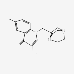 O=C(O)c1cn(CC2CN3CCN2CC3)c2ccc(I)cc2c1=O